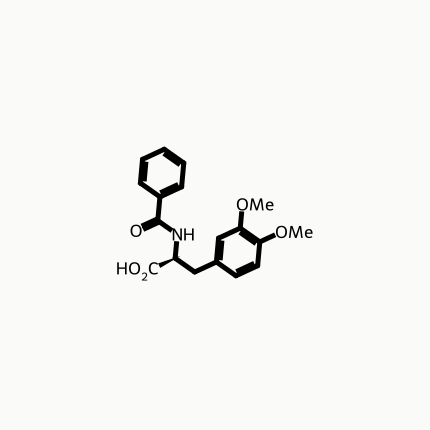 COc1ccc(C[C@H](NC(=O)c2ccccc2)C(=O)O)cc1OC